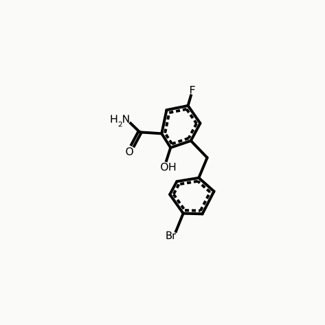 NC(=O)c1cc(F)cc(Cc2ccc(Br)cc2)c1O